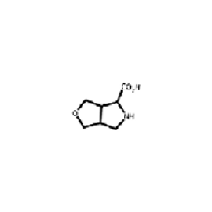 O=C(O)C1NCC2COCC21